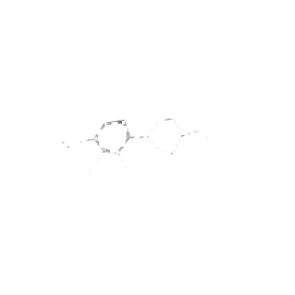 CCOC1CCC(c2ccc(C#N)c(F)c2F)CC1